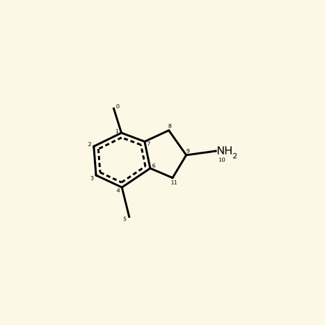 Cc1ccc(C)c2c1CC(N)C2